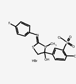 Br.CN1C(=Nc2ccc(F)cc2)SCC1(O)c1ccc(Cl)c(S(=O)(=O)Cl)c1